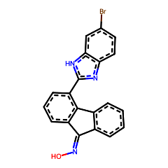 ON=C1c2ccccc2-c2c1cccc2-c1nc2ccc(Br)cc2[nH]1